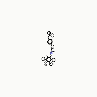 COC(=O)Cc1ccc(OC/C(C)=C/Cc2c(C)c(OC)c(OC)c(OC)c2OC)cc1